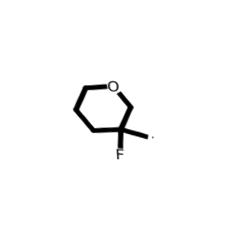 [CH2]C1(F)CCCOC1